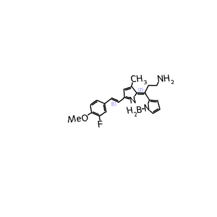 Bn1cccc1/C(CCN)=C1N=C(/C=C/c2ccc(OC)c(F)c2)C=C\1C